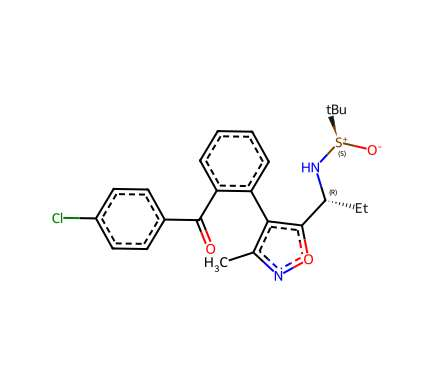 CC[C@@H](N[S@+]([O-])C(C)(C)C)c1onc(C)c1-c1ccccc1C(=O)c1ccc(Cl)cc1